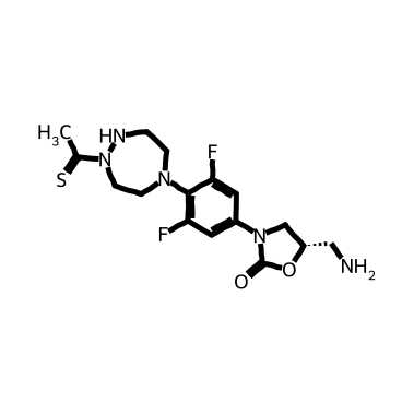 CC(=S)N1CCN(c2c(F)cc(N3C[C@H](CN)OC3=O)cc2F)CCN1